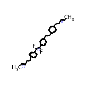 C/C=C/CCc1ccc(CCc2ccc(/C(F)=C(\F)c3ccc(CC/C=C/C)cc3)cc2)cc1